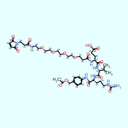 CC(=O)OCc1ccc(NC(=O)[C@H](CCCNC(N)=O)NC(=O)[C@@H](NC(=O)C(CCC(=O)O)NC(=O)CCOCCOCCOCCOCCNC(=O)CCN2C(=O)C=CC2=O)C(C)C)cc1